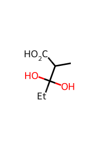 CCC(O)(O)C(C)C(=O)O